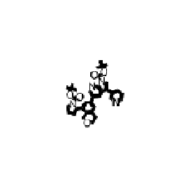 CC(C)(C)OC(=O)N1CCCC1c1cc(-c2cnc3c(c2)c(-c2cccnc2)cn3C(=O)OC(C)(C)C)cc2c1COCC2